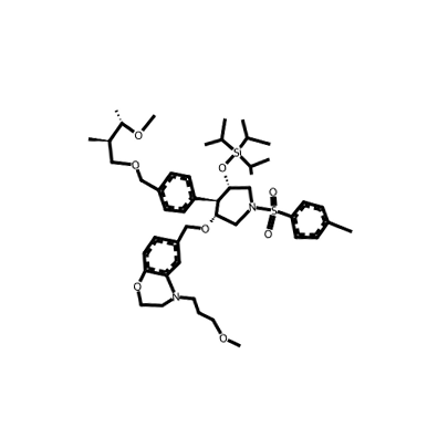 COCCCN1CCOc2ccc(CO[C@H]3CN(S(=O)(=O)c4ccc(C)cc4)C[C@@H](O[Si](C(C)C)(C(C)C)C(C)C)[C@@H]3c3ccc(COC[C@@H](C)[C@H](C)OC)cc3)cc21